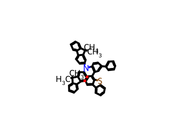 CC1(C)c2ccccc2-c2ccc(N(c3ccc4c(c3)C(C)(C)c3ccccc3-4)c3ccc(-c4ccccc4)cc3-c3cccc4c3sc3ccccc34)cc21